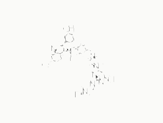 CCN1CCN(c2nc(C)cc(N3CCN(Cc4ccc(C(Nc5ccnc6cc(Cl)ccc56)c5ccc(C)cc5)cc4)CC3)n2)CC1